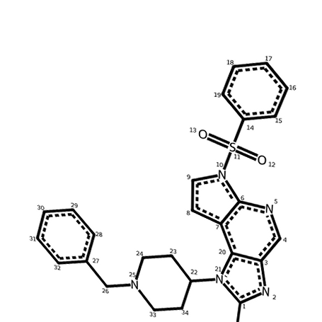 Cc1nc2cnc3c(ccn3S(=O)(=O)c3ccccc3)c2n1C1CCN(Cc2ccccc2)CC1